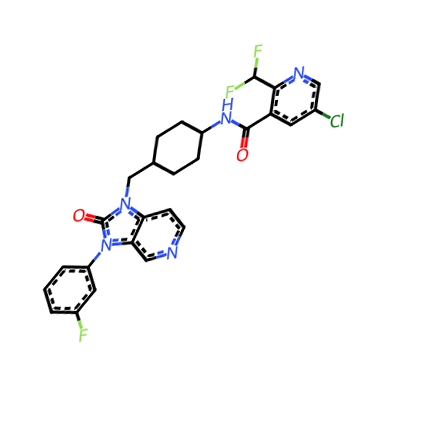 O=C(NC1CCC(Cn2c(=O)n(-c3cccc(F)c3)c3cnccc32)CC1)c1cc(Cl)cnc1C(F)F